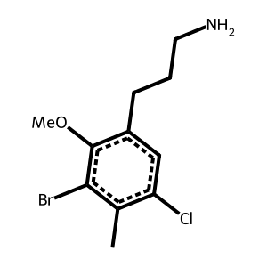 COc1c(CCCN)cc(Cl)c(C)c1Br